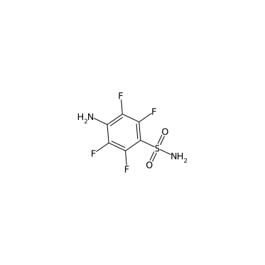 Nc1c(F)c(F)c(S(N)(=O)=O)c(F)c1F